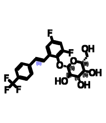 OC[C@H]1O[C@@H](Oc2c(F)cc(F)cc2/C=C/c2ccc(C(F)(F)F)cc2)[C@H](O)[C@@H](O)[C@@H]1O